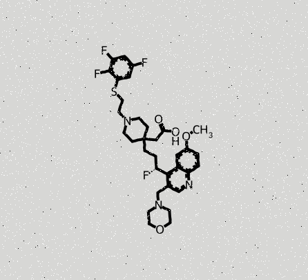 COc1ccc2ncc(CN3CCOCC3)c([C@H](F)CCC3(CC(=O)O)CCN(CCSc4cc(F)cc(F)c4F)CC3)c2c1